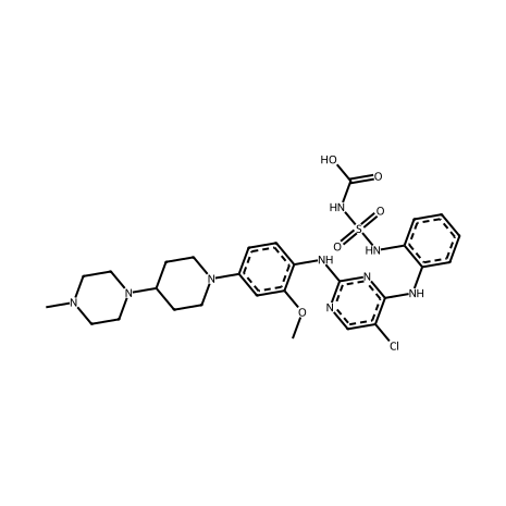 COc1cc(N2CCC(N3CCN(C)CC3)CC2)ccc1Nc1ncc(Cl)c(Nc2ccccc2NS(=O)(=O)NC(=O)O)n1